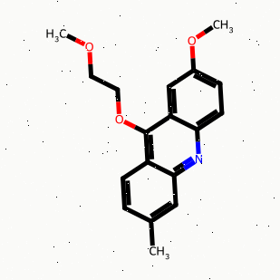 COCCOc1c2ccc(C)cc2nc2ccc(OC)cc12